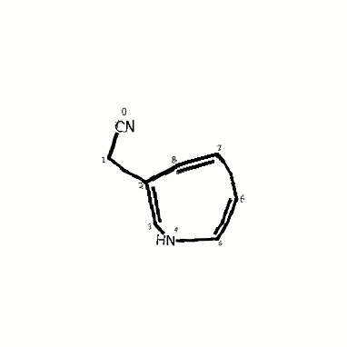 N#CCC1=CNC=CC=C1